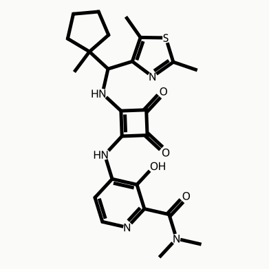 Cc1nc(C(Nc2c(Nc3ccnc(C(=O)N(C)C)c3O)c(=O)c2=O)C2(C)CCCC2)c(C)s1